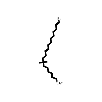 CCC=CCCCCCC/C=C/CCC(C)(C)CCCC=CCOC(C)=O